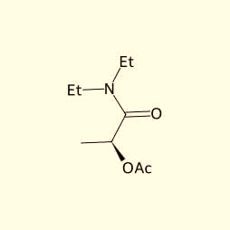 CCN(CC)C(=O)[C@H](C)OC(C)=O